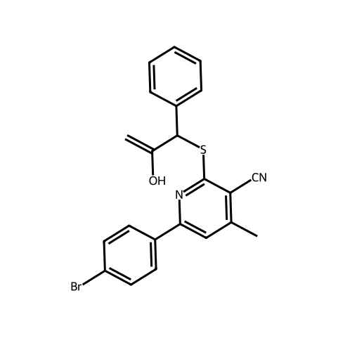 C=C(O)C(Sc1nc(-c2ccc(Br)cc2)cc(C)c1C#N)c1ccccc1